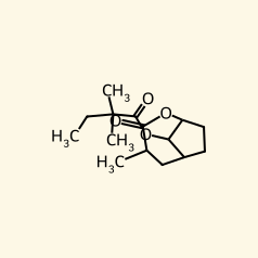 CCC(C)(C)C(=O)OC1C2CCC1OC(=O)C(C)C2